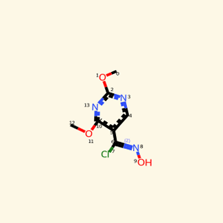 COc1ncc(/C(Cl)=N/O)c(OC)n1